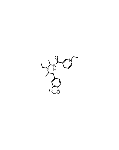 CCN1C=CCC(C(=O)NC(C)N(CC)C(C)Cc2ccc3c(c2)OCO3)=C1